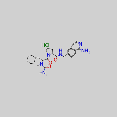 CN(C)C(=O)N(C)C(CC1CCCCC1)C(=O)N1CCCC1C(=O)NCc1ccc2c(N)nccc2c1.Cl